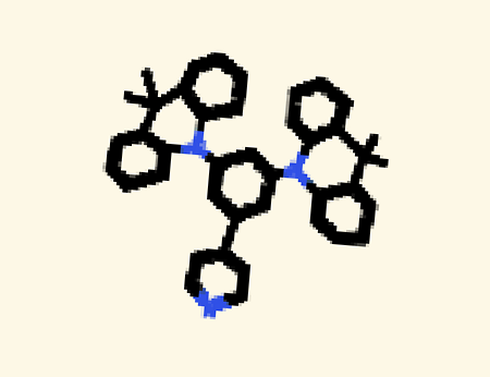 CC1(C)c2ccccc2N(c2cc(-c3ccncc3)cc(N3c4ccccc4C(C)(C)c4ccccc43)c2)c2ccccc21